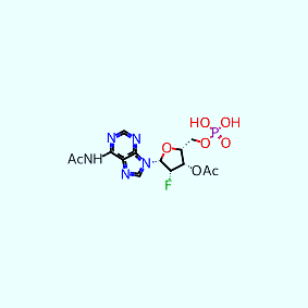 CC(=O)Nc1ncnc2c1ncn2[C@@H]1O[C@H](COP(=O)(O)O)[C@H](OC(C)=O)[C@@H]1F